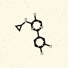 Clc1ccc(-c2ncc(Cl)c(NC3CC3)n2)cc1Cl